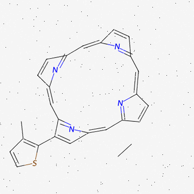 CC.Cc1ccsc1C1=CC2=CC3=NC(=CC4=NC(=CC5=NC(=CC1=N2)C=C5)C=C4)C=C3